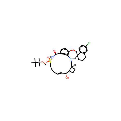 CC(C)(C)[Si](C)(C)OC[C@H]1CC/C=C/[C@H](O)[C@@H]2CC[C@H]2CN2C[C@@]3(CCCc4cc(Cl)ccc43)COc3ccc(cc32)C(=O)NS1(=O)=O